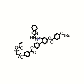 C=CC(=O)OC(C)(C)CC(C)(C)Oc1ccc(C(=O)Oc2ccc(-c3ccc(OC(=O)c4ccc(OC(C)(C)C)cc4)cc3/C=N/Nc3nc4ccccc4s3)cc2)cc1